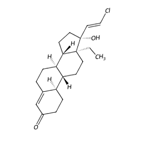 CC[C@]12CC[C@H]3[C@@H](CCC4=CC(=O)CC[C@@H]43)[C@@H]1CC[C@@]2(O)/C=C/Cl